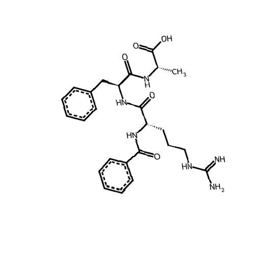 C[C@H](NC(=O)[C@H](Cc1ccccc1)NC(=O)[C@H](CCCNC(=N)N)NC(=O)c1ccccc1)C(=O)O